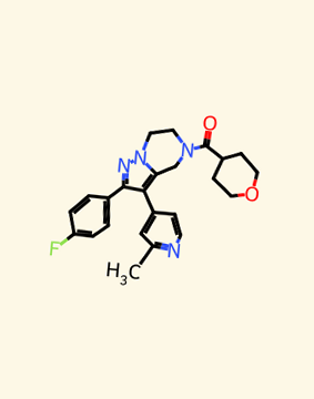 Cc1cc(-c2c(-c3ccc(F)cc3)nn3c2CN(C(=O)C2CCOCC2)CC3)ccn1